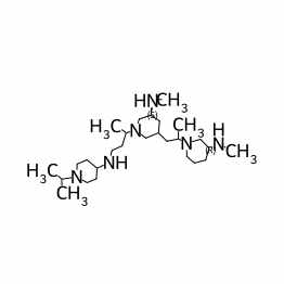 CN[C@@H]1CCCN(C(C)CC2C[C@H](NC)CN(C(C)CCNC3CCN(C(C)C)CC3)C2)C1